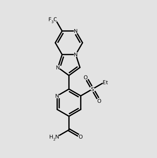 CCS(=O)(=O)c1cc(C(N)=O)cnc1-c1cn2cnc(C(F)(F)F)cc2n1